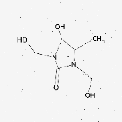 CC1C(O)N(CO)C(=O)N1CO